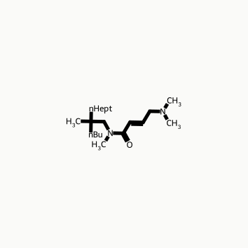 CCCCCCCC(C)(CCCC)CN(C)C(=O)/C=C/CN(C)C